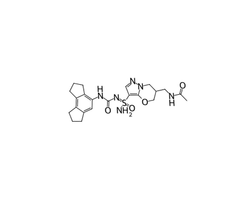 CC(=O)NCC1COc2c(S(N)(=O)=NC(=O)Nc3cc4c(c5c3CCC5)CCC4)cnn2C1